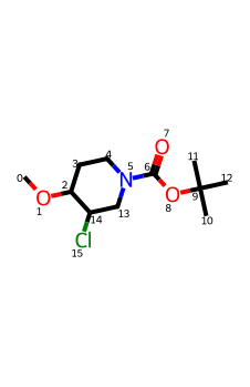 COC1CCN(C(=O)OC(C)(C)C)CC1Cl